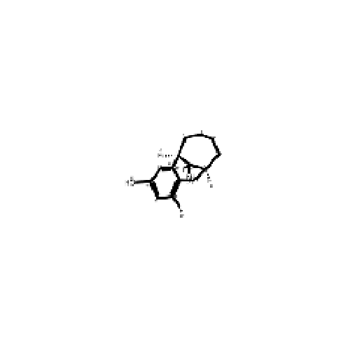 CC[C@@]12CCCC[C@@H](Cc3c(F)cc(O)cc31)[C@@H]2N